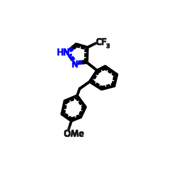 COc1ccc(Cc2ccccc2-c2n[nH]cc2C(F)(F)F)cc1